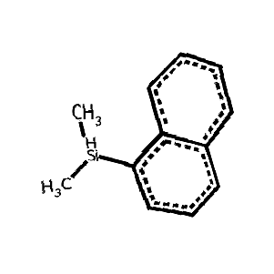 C[SiH](C)c1cccc2ccccc12